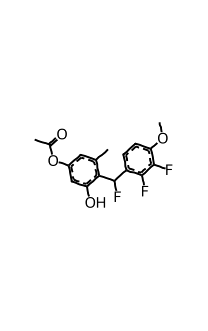 COc1ccc(C(F)c2c(C)cc(OC(C)=O)cc2O)c(F)c1F